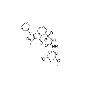 COc1nc(NC(=O)NS(=O)(=O)c2cccc3c2C(=O)c2c(C)nn(-c4ccccc4)c2-3)nc(OC)n1